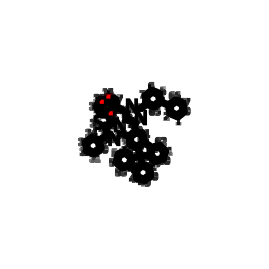 c1ccc(-c2cccc(-c3nc(-c4ccccc4)cc(-c4cc5c(cc4-c4nc(-c6ccccc6)c6sc7ccccc7c6n4)C(c4ccccc4)(c4ccccc4)c4ccccc4-5)n3)c2)cc1